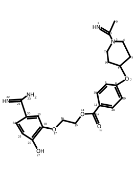 CC(=N)N1CCC(Oc2ccc(C(=O)OCCOc3cc(C(=N)N)ccc3O)cc2)CC1